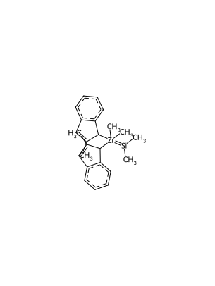 CC1=Cc2ccccc2[CH]1[Zr]([CH3])([CH3])([CH]1C(C)=Cc2ccccc21)=[Si](C)C